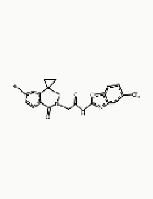 O=C(CN1CC2(CC2)c2cc(Br)ccc2C1=O)Nc1nc2cc(C(F)(F)F)ccc2o1